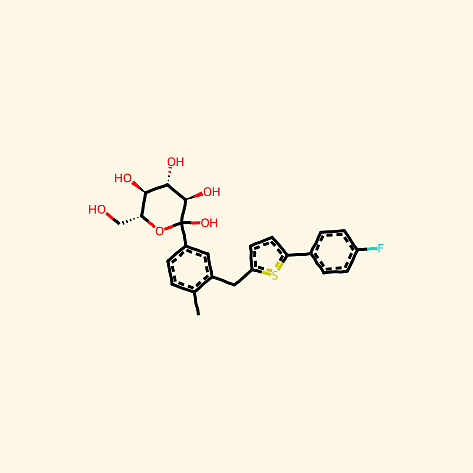 Cc1ccc(C2(O)O[C@H](CO)[C@@H](O)[C@H](O)[C@H]2O)cc1Cc1ccc(-c2ccc(F)cc2)s1